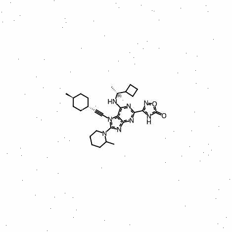 CC1CCCCN1c1nc2nc(-c3noc(=O)[nH]3)nc(N[C@H](C)C3CCC3)c2n1C#C[C@H]1CC[C@H](C)CC1